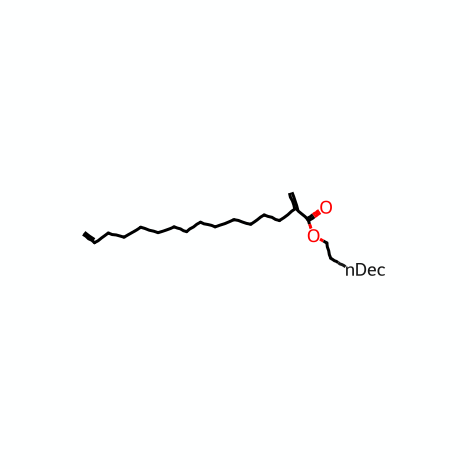 C=CCCCCCCCCCCCCC(=C)C(=O)OCCCCCCCCCCCC